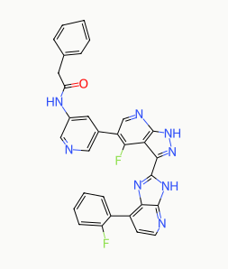 O=C(Cc1ccccc1)Nc1cncc(-c2cnc3[nH]nc(-c4nc5c(-c6ccccc6F)ccnc5[nH]4)c3c2F)c1